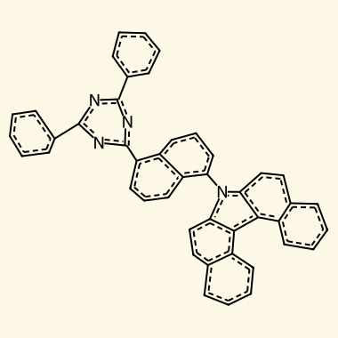 c1ccc(-c2nc(-c3ccccc3)nc(-c3cccc4c(-n5c6ccc7ccccc7c6c6c7ccccc7ccc65)cccc34)n2)cc1